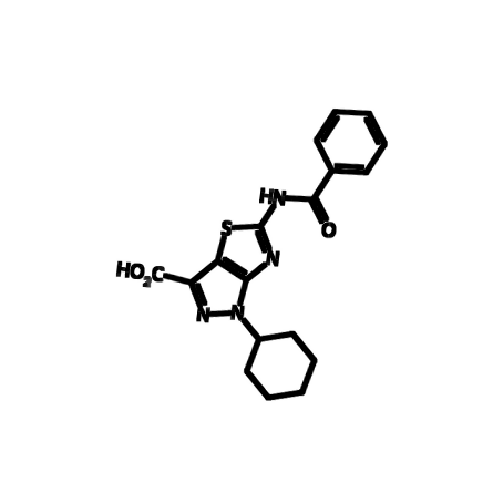 O=C(Nc1nc2c(s1)c(C(=O)O)nn2C1CCCCC1)c1ccccc1